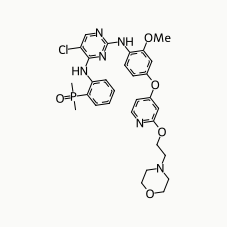 COc1cc(Oc2ccnc(OCCN3CCOCC3)c2)ccc1Nc1ncc(Cl)c(Nc2ccccc2P(C)(C)=O)n1